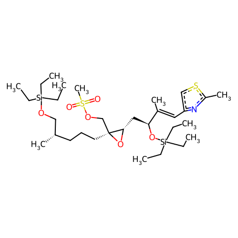 CC[Si](CC)(CC)OC[C@@H](C)CCC[C@@]1(COS(C)(=O)=O)O[C@H]1C[C@H](O[Si](CC)(CC)CC)/C(C)=C/c1csc(C)n1